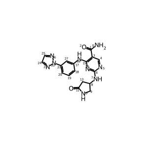 NC(=O)c1cnc(NC2CNC(=O)C2)nc1Nc1cccc(-n2nccn2)c1